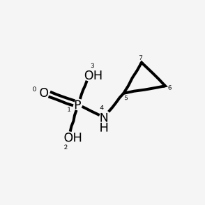 O=P(O)(O)NC1CC1